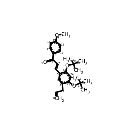 C=CCc1cc(C=CC(=O)c2ccc(OC)cc2)c(OC(C)(C)C)cc1OC(C)(C)C